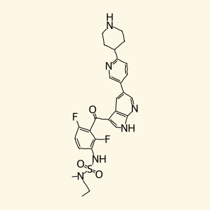 CCN(C)S(=O)(=O)Nc1ccc(F)c(C(=O)c2c[nH]c3ncc(-c4ccc(C5CCNCC5)nc4)cc23)c1F